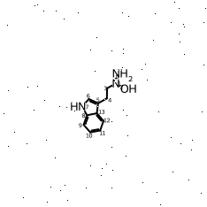 NN(O)CCc1c[nH]c2ccccc12